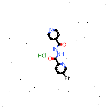 CCc1ccc(C(=O)NNC(=O)c2ccncc2)nc1.Cl